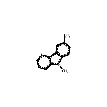 Cc1ccc2c(c1)c1ncccc1n2C